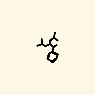 CC(C)C[C](CC(C)C)C(C)c1ccccc1